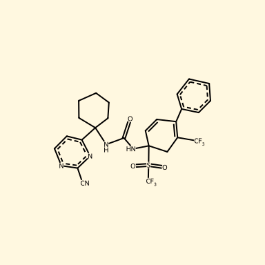 N#Cc1nccc(C2(NC(=O)NC3(S(=O)(=O)C(F)(F)F)C=CC(c4ccccc4)=C(C(F)(F)F)C3)CCCCC2)n1